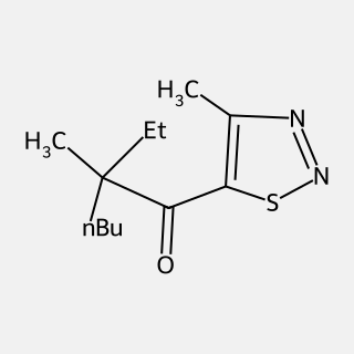 CCCCC(C)(CC)C(=O)c1snnc1C